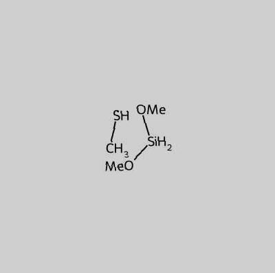 CO[SiH2]OC.CS